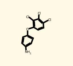 Nc1ccc(Oc2ccc(Cl)c(Cl)c2Cl)cc1